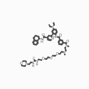 CCN(CC)c1ccc(NC(=O)c2cccc(C(=O)N(C)CCN(C)CCOCCOCCOCCNC(=O)NCCN3CCOCC3)c2)c(-c2cc(C(=O)N[C@H]3CCCc4ccccc43)ccn2)c1